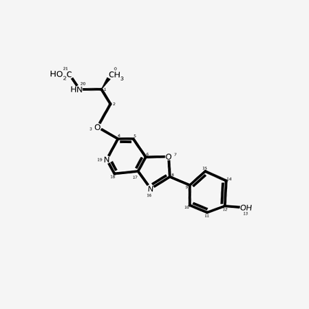 C[C@@H](COc1cc2oc(-c3ccc(O)cc3)nc2cn1)NC(=O)O